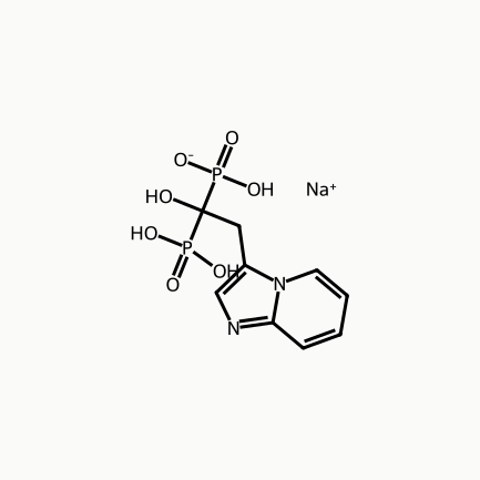 O=P([O-])(O)C(O)(Cc1cnc2ccccn12)P(=O)(O)O.[Na+]